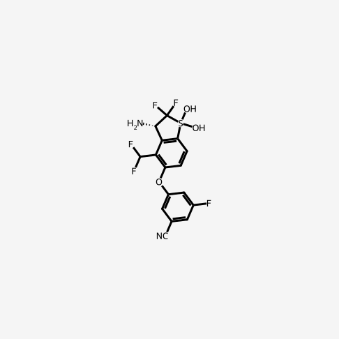 N#Cc1cc(F)cc(Oc2ccc3c(c2C(F)F)[C@H](N)C(F)(F)S3(O)O)c1